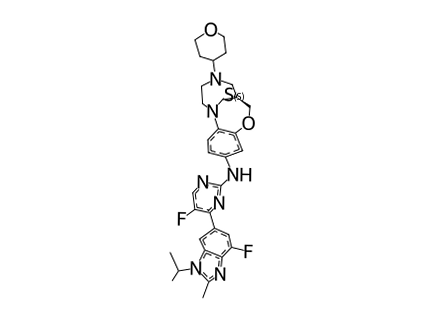 Cc1nc2c(F)cc(-c3nc(Nc4ccc5c(c4)OC[C@@]46CN(C7CCOCC7)CCN5C4S6)ncc3F)cc2n1C(C)C